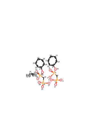 O=P([O-])([O-])CP(=O)([O-])Oc1ccccc1.O=P([O-])([O-])CP(=O)([O-])Oc1ccccc1.[Hg+2].[Hg+2].[Hg+2]